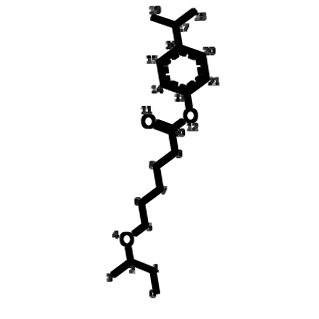 CCC(C)OCCCCCC(=O)Oc1ccc(C(C)C)cc1